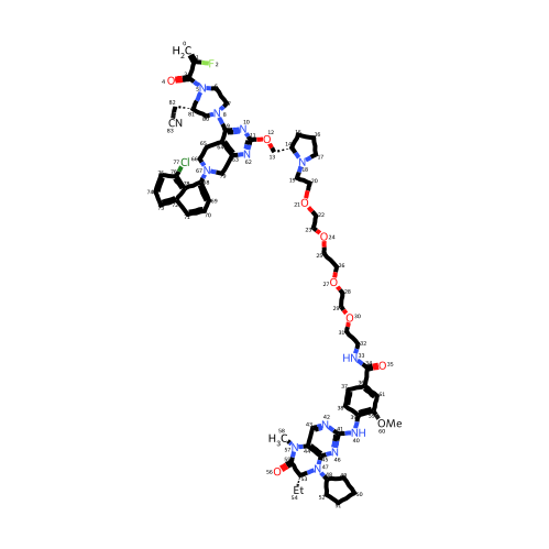 C=C(F)C(=O)N1CCN(c2nc(OC[C@@H]3CCCN3CCOCCOCCOCCOCCNC(=O)c3ccc(Nc4ncc5c(n4)N(C4CCCC4)[C@H](CC)C(=O)N5C)c(OC)c3)nc3c2CCN(c2cccc4cccc(Cl)c24)C3)C[C@@H]1CC#N